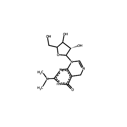 CN(C)c1nc2c(c(=O)[nH]1)CN=CN2C1OC(CO)C(O)[C@@H]1O